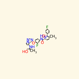 Cc1ccc(C(=O)Nc2ccc(Oc3ncnn4ccc(N[C@H](C)CO)c34)c(F)c2)[n+]([O-])c1-c1ccc(F)cc1